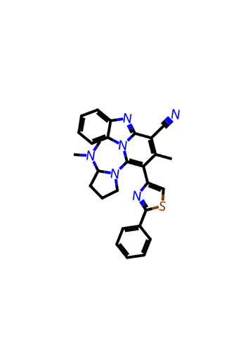 Cc1c(-c2csc(-c3ccccc3)n2)c(N2CCCC2N(C)C)n2c(nc3ccccc32)c1C#N